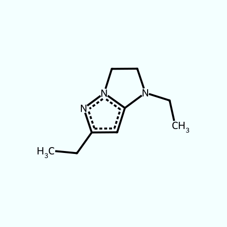 CCc1cc2n(n1)CCN2CC